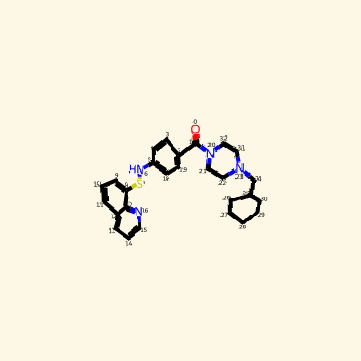 O=C(c1ccc(NSc2cccc3cccnc23)cc1)N1CCN(CC2CCCCC2)CC1